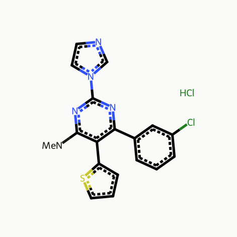 CNc1nc(-n2ccnc2)nc(-c2cccc(Cl)c2)c1-c1cccs1.Cl